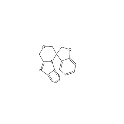 c1ccc2c(c1)OCC21COCc2nc3cccnc3n21